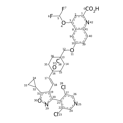 O=C(O)c1cc(OC(F)F)c2cc(OCC34CCC(C=Cc5c(-c6c(Cl)cncc6Cl)noc5C5CC5)(CC3)OC4)ccc2n1